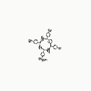 Brc1ccc(-c2c3nc(c(-c4ccc(Br)cc4)c4ccc([nH]4)c(-c4ccc(Br)cc4)c4nc(c(-c5ccc(Br)cc5)c5ccc2[nH]5)C=C4)C=C3)cc1.[Mn]